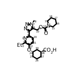 CCc1nc(-c2nnn(C)c2COC(=O)N2CCCCC2)ccc1O[C@H]1CCC[C@H](C(=O)O)C1